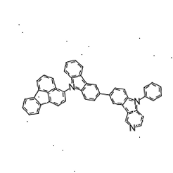 c1ccc(-n2c3ccncc3c3cc(-c4ccc5c(c4)c4ccccc4n5-c4ccc5c6c(cccc46)-c4ccccc4-5)ccc32)cc1